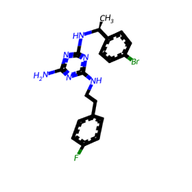 C[C@H](Nc1nc(N)nc(NCCc2ccc(F)cc2)n1)c1ccc(Br)cc1